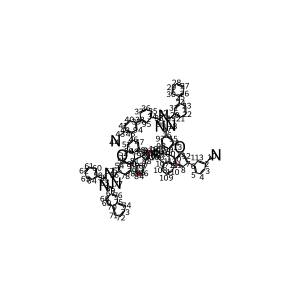 N#Cc1cccc(-c2ccc3c(c2)Oc2cc(-c4nc(-c5cccc(-c6ccccc6)c5)nc(-c5cccc(-c6ccc(C#N)c(-c7ccc8c(c7)Oc7cc(-c9nc(-c%10ccccc%10)nc(-c%10ccc%11ccccc%11c%10)n9)ccc7C87c8ccccc8-c8ccccc87)c6)c5)n4)ccc2C32c3ccccc3-c3ccccc32)c1